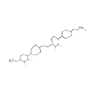 CCCC1CCC(C2CCC(CCC3CCC(C4CCC(CC)C(F)C4F)CC3)C(F)C2F)CC1